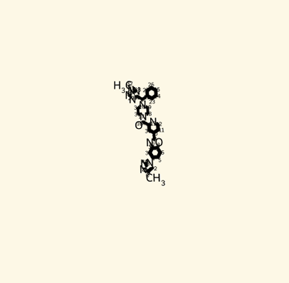 Cc1cn(-c2ccc3oc(-c4ccnc(C(=O)N5CCN(C(c6ccccc6)c6nnn(C)n6)CC5)c4)nc3c2)nn1